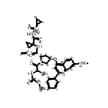 C=C[C@@H]1CC1(NC(=O)[C@@H]1C[C@@H](Oc2cc(-c3ccccc3)nc3cc(OC)ccc23)CN1C(=O)C(NC(=O)OC(C)(C)C)C(C)(C)C)C(=O)NS(=O)(=O)C1CC1